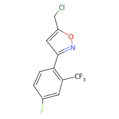 Fc1ccc(-c2cc(CCl)on2)c(C(F)(F)F)c1